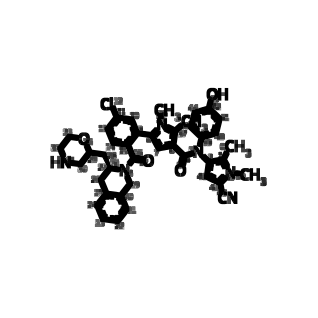 Cc1c(N(C(=O)c2cc(-c3cc(Cl)ccc3C(=O)N3Cc4ccccc4C[C@H]3CC3CNCCO3)n(C)c2C)c2ccc(O)cc2)cc(C#N)n1C